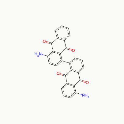 Nc1cccc2c1C(=O)c1cccc(-c3ccc(N)c4c3C(=O)c3ccccc3C4=O)c1C2=O